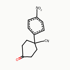 N#CC1(c2ccc([N+](=O)[O-])cc2)CCC(=O)CC1